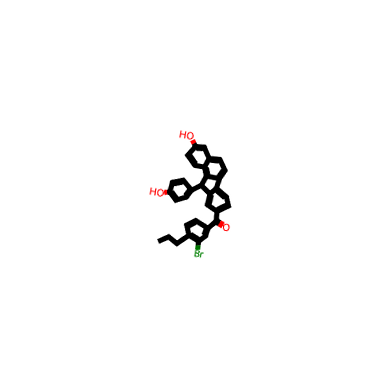 CCCc1ccc(C(=O)c2ccc3c(c2)C(c2ccc(O)cc2)c2c-3ccc3cc(O)ccc23)cc1Br